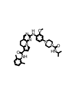 COc1cc(N2CCN(C(=O)NC(C)C)CC2)ccc1Nc1ncc2c(n1)-n1ccc(C(=O)Nc3c(C)cccc3C)c1CC2